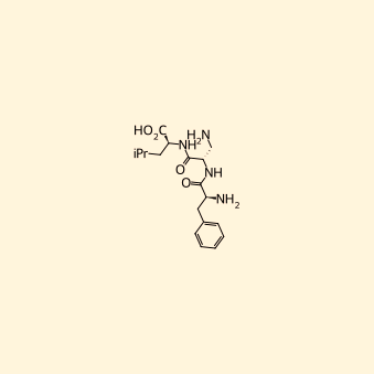 CC(C)C[C@H](NC(=O)[C@H](CN)NC(=O)[C@@H](N)Cc1ccccc1)C(=O)O